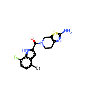 CCc1ccc(F)c2[nH]c(C(=O)N3CCc4nc(N)sc4C3)cc12